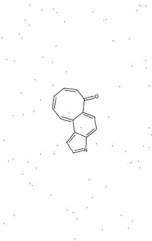 O=c1cccccc2c1ccc1nccc12